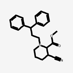 COC(=O)C1C(C#N)CCCN1CCC(c1ccccc1)c1ccccc1